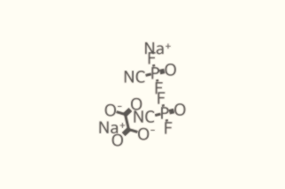 N#CP(=O)(F)F.N#CP(=O)(F)F.O=C([O-])C(=O)[O-].[Na+].[Na+]